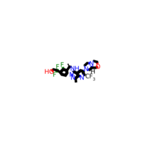 Cc1nnc(N[C@H](C)c2cccc(C(F)(F)CO)c2F)c2cc(N3CCN4CCOC[C@@H]4C3)c(C(F)(F)F)nc12